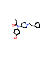 CCC(=O)N(c1ccc(O)cc1)C1CCN(CCc2ccccc2)CC1